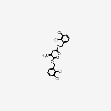 C=C(CC(=O)OCc1cccc(Cl)c1Cl)C(=O)OCc1cccc(Cl)c1Cl